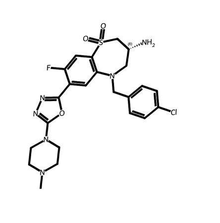 CN1CCN(c2nnc(-c3cc4c(cc3F)S(=O)(=O)C[C@H](N)CN4Cc3ccc(Cl)cc3)o2)CC1